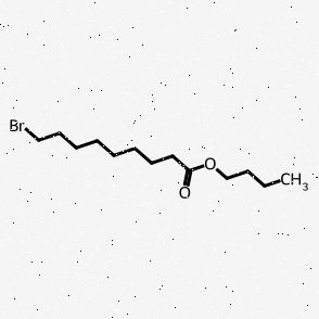 CCCCOC(=O)CCCCCCCCBr